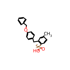 Cc1ccc(S(=O)(O)=S)c(Cc2ccc(OCc3ccccc3)cc2)c1